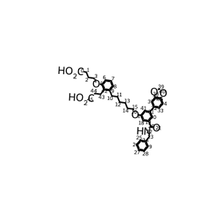 O=C(O)CCCOc1cccc(CCCCCCOc2cc(C(=O)NCc3ccccc3)cc(-c3ccc4c(c3)OCO4)c2)c1CCC(=O)O